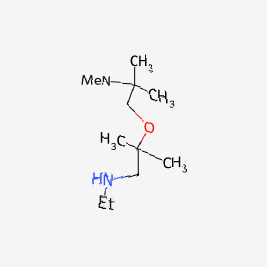 CCNCC(C)(C)OCC(C)(C)NC